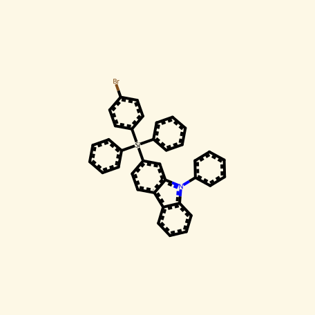 Brc1ccc([Si](c2ccccc2)(c2ccccc2)c2ccc3c4ccccc4n(-c4ccccc4)c3c2)cc1